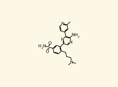 Cc1cc(-c2nc(-c3cc(S(N)(=O)=O)ccc3CCCN(C)C)cnc2N)ccn1